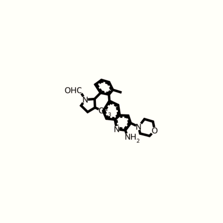 Cc1cccc(C2C(C(F)(F)F)CCN2C=O)c1-c1ccc2nc(N)c(N3CCOCC3)cc2c1